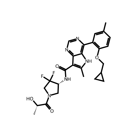 Cc1ccc(OCC2CC2)c(-c2ncnc3c(C(=O)N[C@@H]4CN(C(=O)[C@H](C)O)CC4(F)F)c(C)[nH]c23)c1